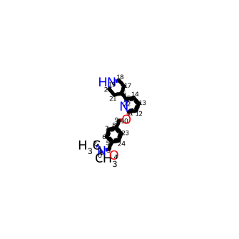 CN(C)C(=O)c1ccc(COc2cccc(C3CCNCC3)n2)cc1